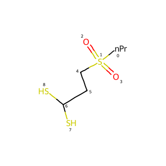 CCCS(=O)(=O)CCC(S)S